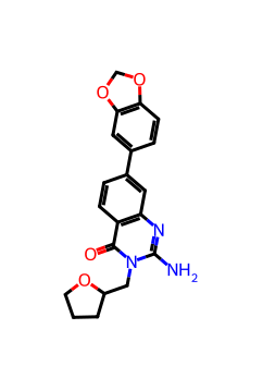 Nc1nc2cc(-c3ccc4c(c3)OCO4)ccc2c(=O)n1CC1CCCO1